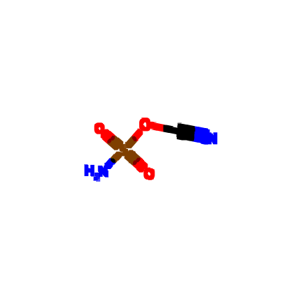 N#COS(N)(=O)=O